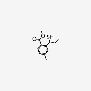 [CH2]c1ccc(C(=O)OC)c(C(S)CC)c1